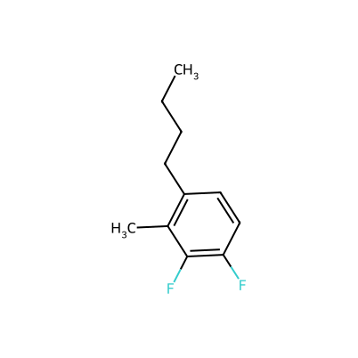 CCCCc1ccc(F)c(F)c1C